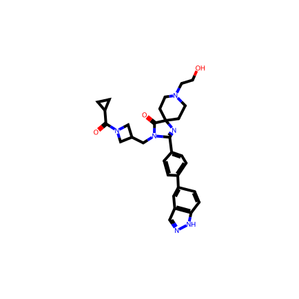 O=C(C1CC1)N1CC(CN2C(=O)C3(CCN(CCO)CC3)N=C2c2ccc(-c3ccc4[nH]ncc4c3)cc2)C1